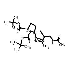 CC(=O)NCC(C[C@@]1(C(C)=O)CC[C@H](C(=O)OC(C)(C)C)N1C(=O)OC(C)(C)C)C(C)O